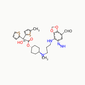 Cc1ccc([C@@](O)(C(=O)O[C@H]2CC[C@H](N(C)CCCNc3c(N=N)cc(C=O)c4c3OCO4)CC2)c2cccs2)s1